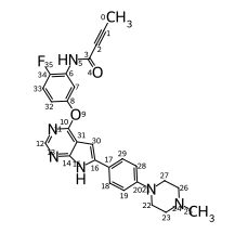 CC#CC(=O)Nc1cc(Oc2ncnc3[nH]c(-c4ccc(N5CCN(C)CC5)cc4)cc23)ccc1F